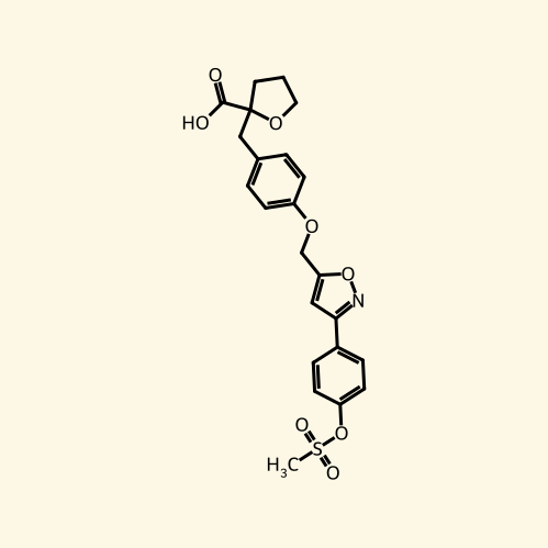 CS(=O)(=O)Oc1ccc(-c2cc(COc3ccc(CC4(C(=O)O)CCCO4)cc3)on2)cc1